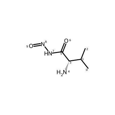 CC(C)[C@H](N)C(=O)NN=O